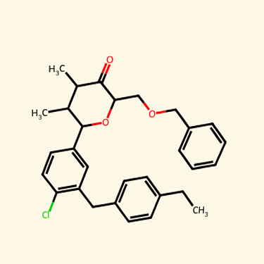 CCc1ccc(Cc2cc(C3OC(COCc4ccccc4)C(=O)C(C)C3C)ccc2Cl)cc1